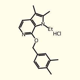 CCn1c(C)c(C)c2ccnc(OCc3ccc(C)c(C)c3)c21.Cl